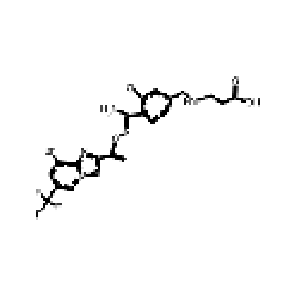 C=C(O/N=C(\N)c1ccc(CNCCC(=O)O)cc1Cl)c1cn2cc(C(F)(F)F)cc(Br)c2n1